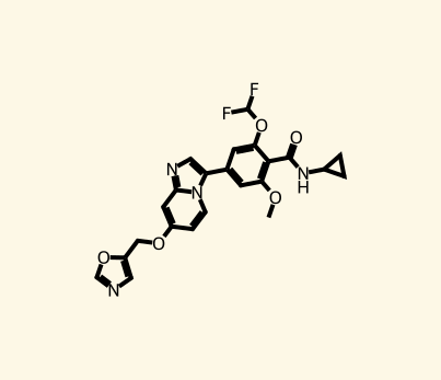 COc1cc(-c2cnc3cc(OCc4cnco4)ccn23)cc(OC(F)F)c1C(=O)NC1CC1